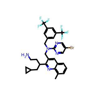 Cc1cccc2cc(CN(Cc3cc(C(F)(F)F)cc(C(F)(F)F)c3)c3ncc(Br)cn3)c(C(CCN)CC3CC3)nc12